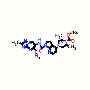 Cc1nc2nc(C)c(NC(=O)N3CCc4c(N5C[C@@H](C)N(C(=O)OC(C)(C)C)[C@@H](C)C5)ccnc43)cn2n1